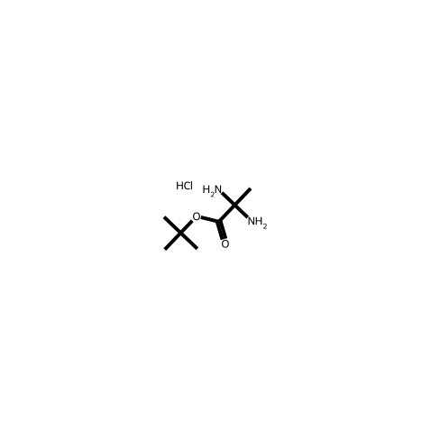 CC(C)(C)OC(=O)C(C)(N)N.Cl